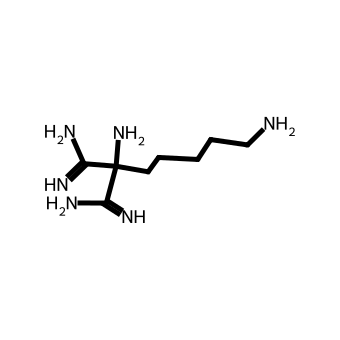 N=C(N)C(N)(CCCCCN)C(=N)N